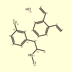 C=Cc1ccccc1C=C.CCNC(C)Cc1cccc(C(F)(F)F)c1.Cl